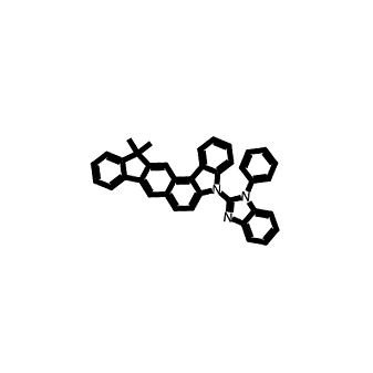 CC1(C)c2ccccc2-c2cc3ccc4c(c3cc21)c1ccccc1n4-c1nc2ccccc2n1-c1ccccc1